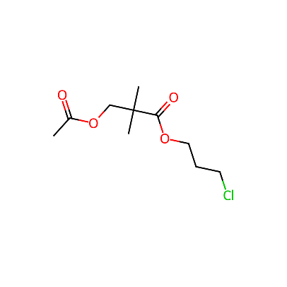 CC(=O)OCC(C)(C)C(=O)OCCCCl